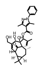 CC1=C[C@]23C(=O)[C@@H](C=C(CO)[C@@H](O)[C@]2(O)[C@H]1OC(=O)c1c(C)nn(-c2ccccc2)c1C)[C@H]1[C@@H](C[C@H]3C)C1(C)C